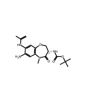 C=C(C)Nc1cc2c(cc1N)N(C)C(=O)[C@@H](NC(=O)OC(C)(C)C)CO2